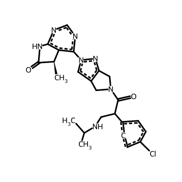 CC(C)NCC(C(=O)N1Cc2cn(-c3ncnc4c3[C@@H](C)C(=O)N4)nc2C1)c1ccc(Cl)cc1